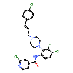 O=C(Nc1ccc(Cl)c(Cl)c1N1CCN(C/C=C/c2ccc(Cl)cc2)CC1)c1ccnc(Cl)c1